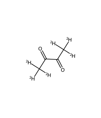 [2H]C([2H])([2H])C(=O)C(=O)C([2H])([2H])[2H]